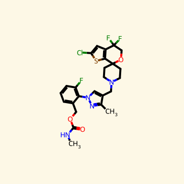 CNC(=O)OCc1cccc(F)c1-n1cc(CN2CCC3(CC2)OCC(F)(F)c2cc(Cl)sc23)c(C)n1